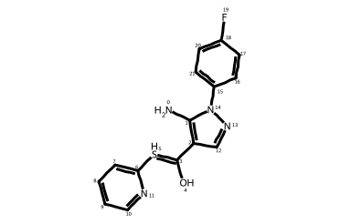 Nc1c(C(O)=[SH]c2ccccn2)cnn1-c1ccc(F)cc1